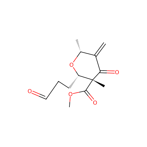 C=C1C(=O)[C@](C)(C(=O)OC)[C@H](CCC=O)O[C@@H]1C